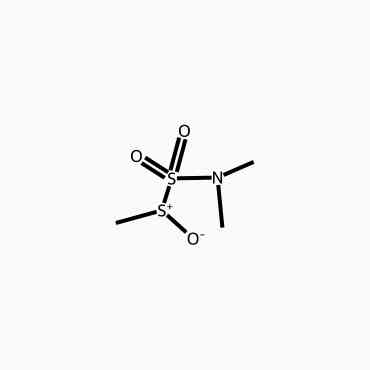 CN(C)S(=O)(=O)[S+](C)[O-]